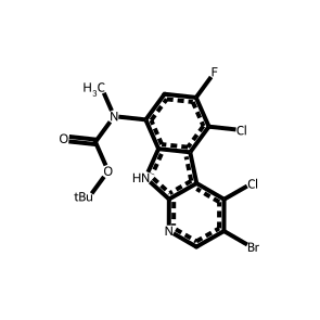 CN(C(=O)OC(C)(C)C)c1cc(F)c(Cl)c2c1[nH]c1ncc(Br)c(Cl)c12